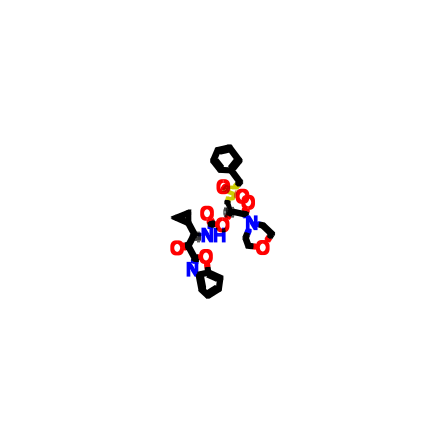 O=C(N[C@H](C(=O)c1nc2ccccc2o1)C1CC1)O[C@@H](CS(=O)(=O)Cc1ccccc1)C(=O)N1CCOCC1